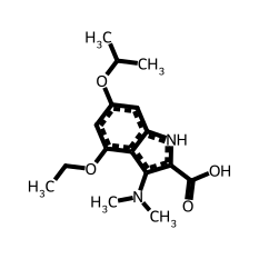 CCOc1cc(OC(C)C)cc2[nH]c(C(=O)O)c(N(C)C)c12